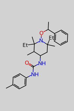 CCC1(C)CC(NC(=O)Nc2ccc(C)cc2)C(C)C(C)(CC)N1OC(C)c1ccccc1